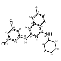 Cc1ccc2c(NC3CCCCC3)nc(Nc3cc(Cl)cc(Cl)c3)nc2c1